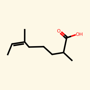 CC=C(C)CCCC(C)C(=O)O